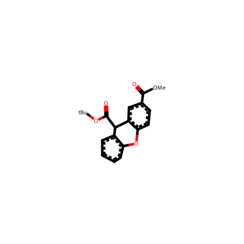 COC(=O)c1ccc2c(c1)C(C(=O)OC(C)(C)C)c1ccccc1O2